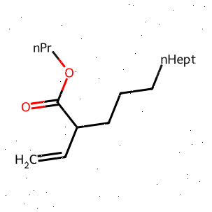 C=CC(CCCCCCCCCC)C(=O)OCCC